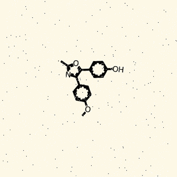 [CH2]c1nc(-c2ccc(OC)cc2)c(-c2ccc(O)cc2)o1